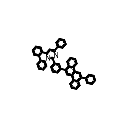 c1ccc(-c2cc(-c3ccccc3-c3ccccc3)nc(-c3cccc(-c4cc5c6ccccc6c(-c6ccccc6)cc5c5ccccc45)c3)n2)cc1